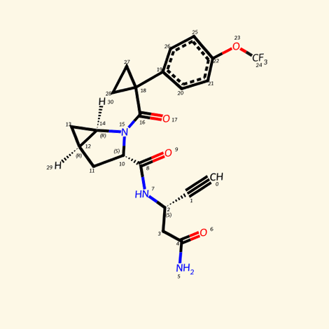 C#C[C@H](CC(N)=O)NC(=O)[C@@H]1C[C@H]2C[C@H]2N1C(=O)C1(c2ccc(OC(F)(F)F)cc2)CC1